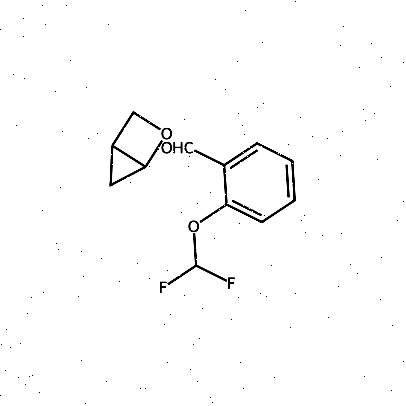 C1OC2CC12.O=Cc1ccccc1OC(F)F